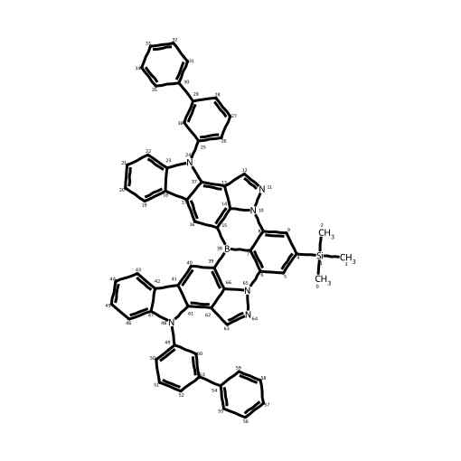 C[Si](C)(C)c1cc2c3c(c1)-n1ncc4c1c(cc1c5ccccc5n(-c5cccc(-c6ccccc6)c5)c14)B3c1cc3c4ccccc4n(-c4cccc(-c5ccccc5)c4)c3c3cnn-2c13